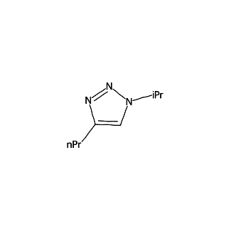 CCCc1cn(C(C)C)nn1